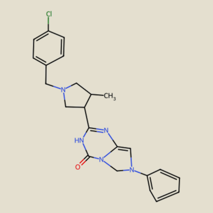 CC1CN(Cc2ccc(Cl)cc2)CC1C1=NC2=CN(c3ccccc3)CN2C(=O)N1